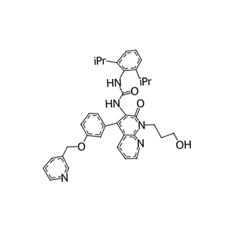 CC(C)c1cccc(C(C)C)c1NC(=O)Nc1c(-c2cccc(OCc3cccnc3)c2)c2cccnc2n(CCCO)c1=O